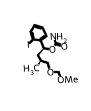 COCOC[C@@H](C)C[C@H](OC(N)=O)c1ccccc1I